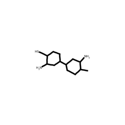 CC1CCC(C2CCC(S)C(N)C2)CC1N